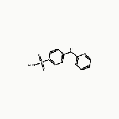 CNS(=O)(=O)c1ccc(Nc2ccccn2)cc1